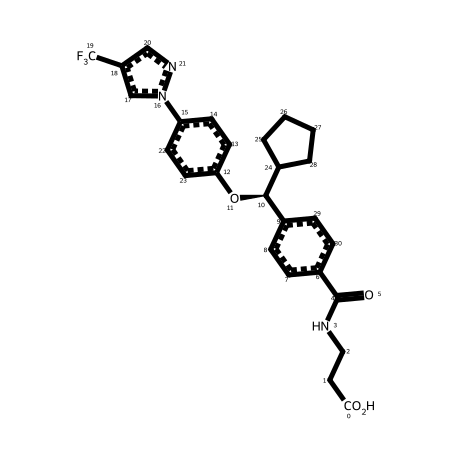 O=C(O)CCNC(=O)c1ccc([C@@H](Oc2ccc(-n3cc(C(F)(F)F)cn3)cc2)C2CCCC2)cc1